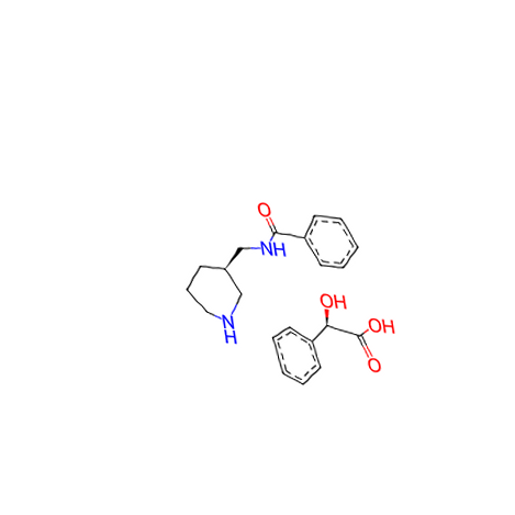 O=C(NC[C@@H]1CCCNC1)c1ccccc1.O=C(O)[C@H](O)c1ccccc1